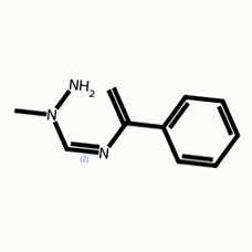 C=C(/N=C\N(C)N)c1ccccc1